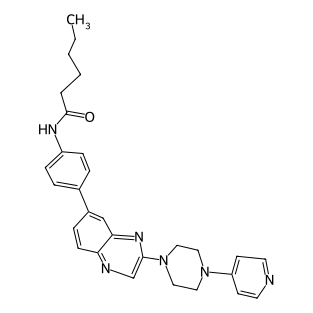 CCCCCC(=O)Nc1ccc(-c2ccc3ncc(N4CCN(c5ccncc5)CC4)nc3c2)cc1